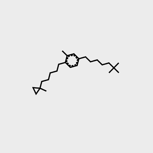 Cc1cc(CCCCCC(C)(C)C)ccc1CCCCCC1(C)CC1